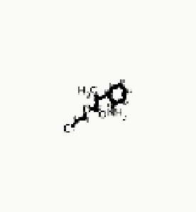 CC(C(=O)OCCCl)c1ccccc1N